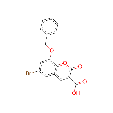 O=C(O)c1cc2cc(Br)cc(OCc3ccccc3)c2oc1=O